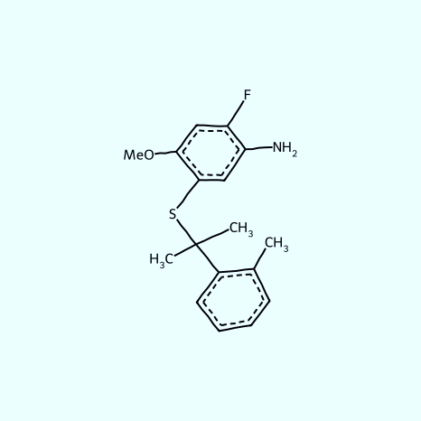 COc1cc(F)c(N)cc1SC(C)(C)c1ccccc1C